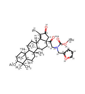 CC(=O)O[C@H]1CC[C@]2(C)[C@H]3CC[C@@H]4C5=C(C(C)C)C(=O)C[C@]5(C(=O)CN(Cc5ccco5)C(=O)OC(C)(C)C)CC[C@@]4(C)[C@]3(C)CC[C@H]2C1(C)C